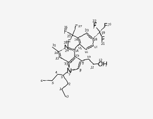 CCCC(CCC)n1cc(CCO)c2c(-c3ccc(C(F)(F)F)cc3C(F)(F)F)nc(C)cc21